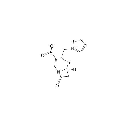 O=C([O-])C1=CN2C(=O)C[C@H]2SC1C[n+]1ccccc1